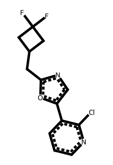 FC1(F)CC(Cc2ncc(-c3cccnc3Cl)o2)C1